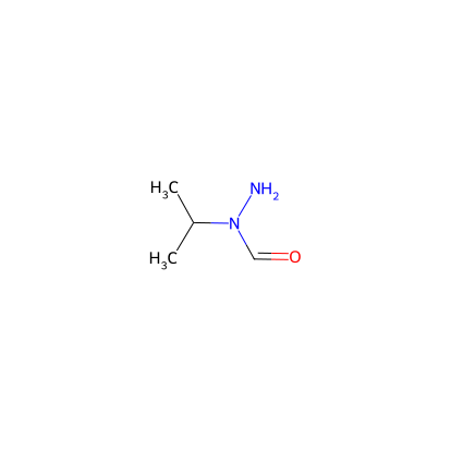 CC(C)N(N)C=O